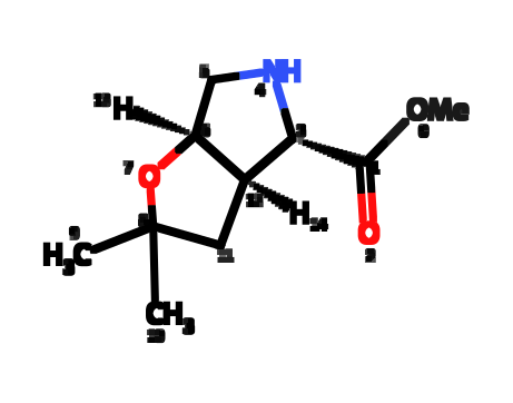 COC(=O)[C@H]1NC[C@@H]2OC(C)(C)C[C@@H]21